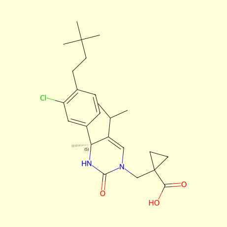 CC(C)C1=CN(CC2(C(=O)O)CC2)C(=O)N[C@@]1(C)c1ccc(CCC(C)(C)C)c(Cl)c1